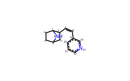 C(=C/C1CC2CCC1N2)/c1cccnc1